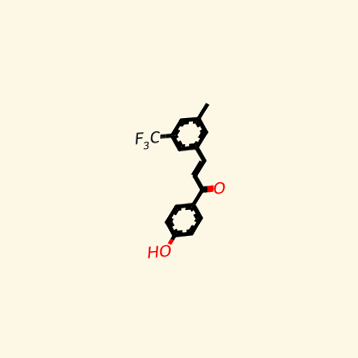 Cc1cc(/C=C/C(=O)c2ccc(O)cc2)cc(C(F)(F)F)c1